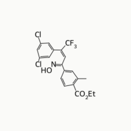 CCOC(=O)c1ccc(C(C=C(c2cc(Cl)cc(Cl)c2)C(F)(F)F)=NO)cc1C